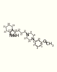 COc1cccc(N2CCN(CCCc3[nH]nc4c3CCCC4)CC2)c1